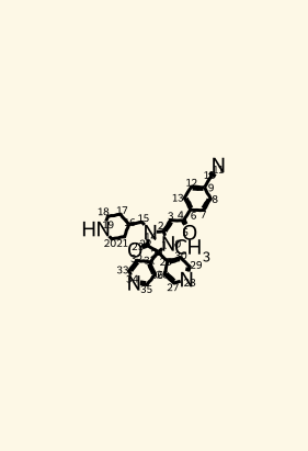 CN1C(=CC(=O)c2ccc(C#N)cc2)N(CC2CCNCC2)C(=O)C1(c1ccncc1)c1ccncc1